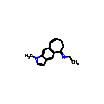 CC/N=C1\CCC=Cc2cc3c(ccn3C)cc21